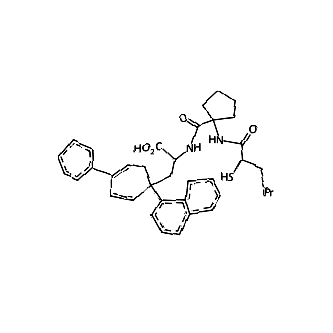 CC(C)CC(S)C(=O)NC1(C(=O)NC(CC2(c3cccc4ccccc34)C=CC(c3ccccc3)=CC2)C(=O)O)CCCC1